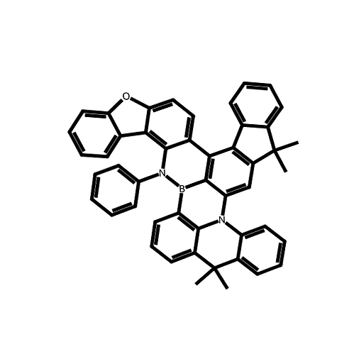 CC1(C)c2ccccc2-c2c1cc1c3c2-c2ccc4oc5ccccc5c4c2N(c2ccccc2)B3c2cccc3c2N1c1ccccc1C3(C)C